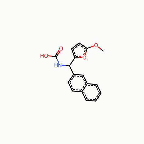 COc1ccc(C(NC(=O)O)c2ccc3ccccc3c2)o1